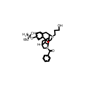 CC(C)(C)[Si](C)(C)Oc1ccc2c(c1)C13CCN(CCCO)C(C2)C12CCC1C3[C@@H](CN1C(=O)c1ccccc1)C2